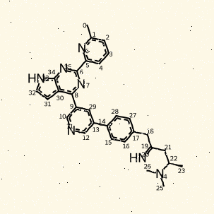 Cc1cccc(-c2nc(-c3cncc(-c4ccc(CC(=N)C[C@@H](C)N(C)C)cc4)c3)c3cc[nH]c3n2)n1